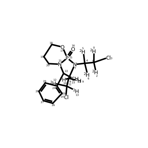 [2H]C([2H])(Cl)C([2H])([2H])N(C([2H])([2H])C([2H])([2H])Cl)P1(=O)OCCCN1C(C)c1ccccc1